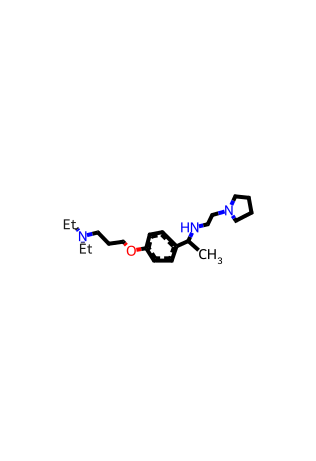 CCN(CC)CCCOc1ccc(C(C)NCCN2CCCC2)cc1